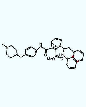 COC(=O)C1=C(C(=O)Nc2ccc(CN3CCN(C)CC3)cc2)C2C=CC1(C(Cc1ccccc1)Nc1ccccc1)O2